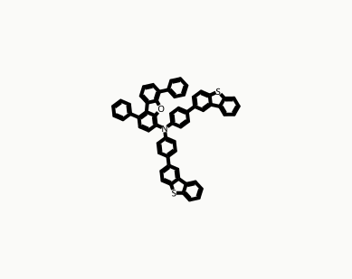 c1ccc(-c2cccc3c2oc2c(N(c4ccc(-c5ccc6sc7ccccc7c6c5)cc4)c4ccc(-c5ccc6sc7ccccc7c6c5)cc4)ccc(-c4ccccc4)c23)cc1